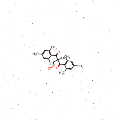 Cc1cc(C)c(C(=O)C(C#N)(CP=O)C(=O)c2c(C)cc(C)cc2C)c(C)c1